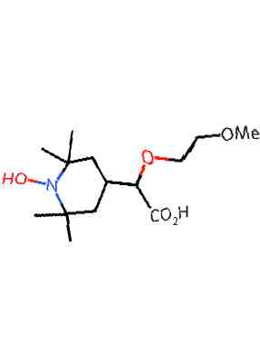 COCCOC(C(=O)O)C1CC(C)(C)N(O)C(C)(C)C1